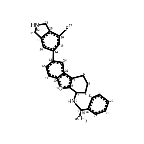 C[C@@H](NC1CCCc2c1oc1ccc(-c3cc(F)c4c(c3)CNC4)cc21)c1ccccc1